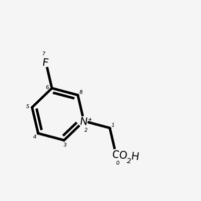 O=C(O)C[n+]1cccc(F)c1